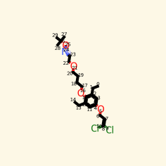 CCc1cc(OCC=C(Cl)Cl)cc(CC)c1OCCCCOC/C=N/OC(C)(C)C